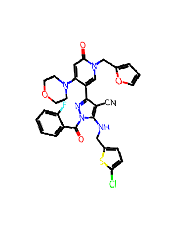 N#Cc1c(-c2cn(Cc3ccco3)c(=O)cc2N2CCOCC2)nn(C(=O)c2ccccc2F)c1NCc1ccc(Cl)s1